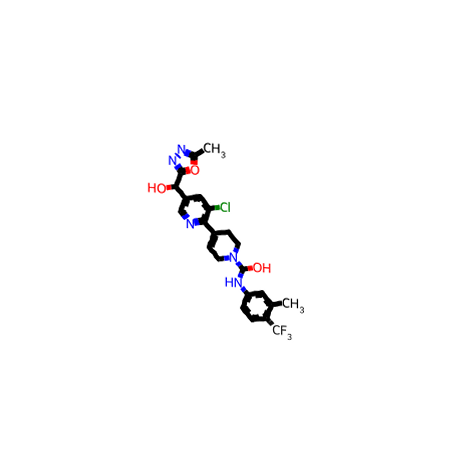 Cc1nnc(C(O)c2cnc(C3=CCN(C(O)Nc4ccc(C(F)(F)F)c(C)c4)CC3)c(Cl)c2)o1